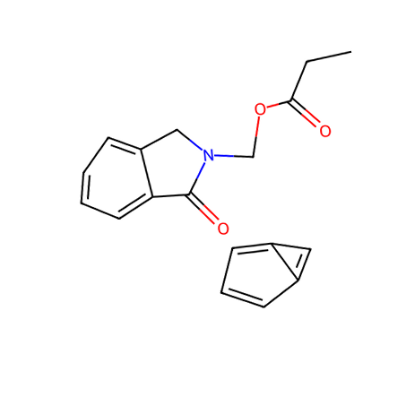 CCC(=O)OCN1Cc2ccccc2C1=O.c1cc2cc-2c1